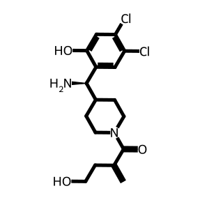 C=C(CCO)C(=O)N1CCC([C@@H](N)c2cc(Cl)c(Cl)cc2O)CC1